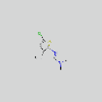 CN(C)/C=N/c1sc(Cl)cc1C=O